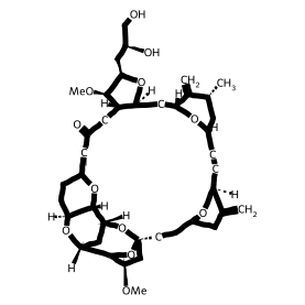 C=C1CC2CC[C@]34C[C@@H](OC)C(O3)[C@H]3C[C@@H](O4)[C@H]4O[C@H](CC[C@@H]4O3)CC(=O)C[C@@H]3[C@@H](OC)[C@@H](C[C@H](O)CO)O[C@H]3C[C@H]3O[C@@H](CC[C@@H]1O2)C[C@@H](C)C3=C